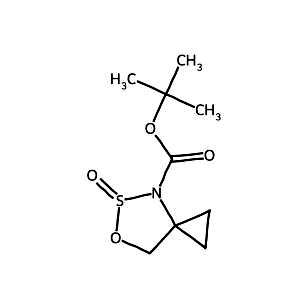 CC(C)(C)OC(=O)N1S(=O)OCC12CC2